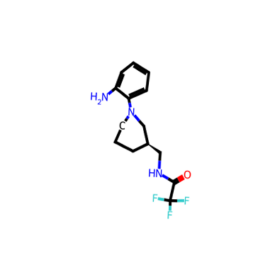 Nc1ccccc1N1CCC[C@H](CNC(=O)C(F)(F)F)C1